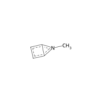 Cn1c2ccc1-2